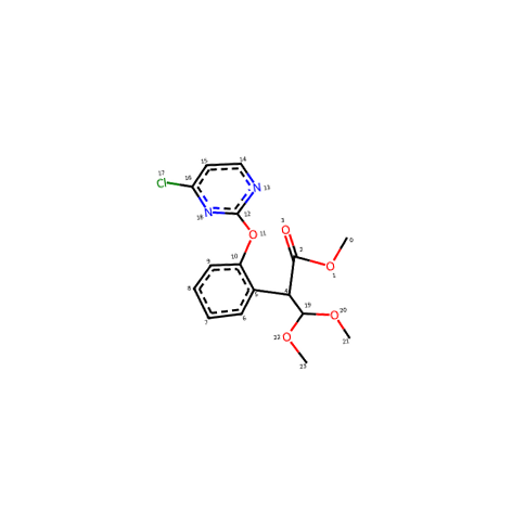 COC(=O)C(c1ccccc1Oc1nccc(Cl)n1)C(OC)OC